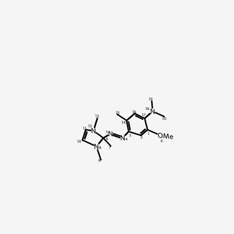 COc1cc(N=NC2(C)N(C)C=CN2C)c(C)cc1N(C)C